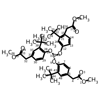 COC(=O)Cc1ccc(OP(Oc2ccc(CC(=O)OC)c(C(C)(C)C)c2)Oc2ccc(CC(=O)OC)cc2C(C)(C)C)c(C(C)(C)C)c1